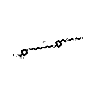 Cl.N=C(N)c1ccc(OCCCCCCCCCCOc2ccc(CCOCCOCCCl)cc2)cc1